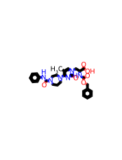 Cc1cn(CC(NC(=O)OCc2ccccc2)C(=O)O)c(=O)nc1N1CCCN(C(=O)Nc2ccccc2)CC1